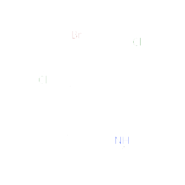 Clc1cc2[nH]ccc2c(Cl)c1Br